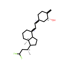 C=C1CC/C(=C/C=C2\CCC[C@@]3(C)C2CCC3[C@H](C)CC(F)F)C[C@H]1O